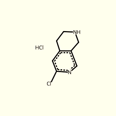 Cl.Clc1cc2c(cn1)CNCC2